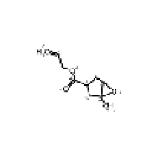 C=CCOC(=O)C1CC2OC2(C)C1